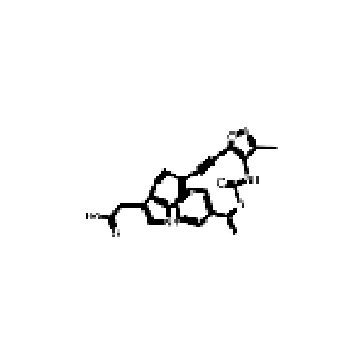 Cc1noc(C#Cc2ccc3c(CC(=O)O)c[nH]c3c2)c1NC(=O)OC(C)c1ccccc1